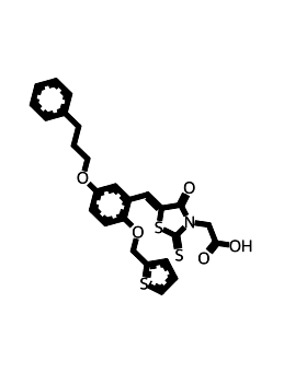 O=C(O)CN1C(=O)C(=Cc2cc(OCCCc3ccccc3)ccc2OCc2cccs2)SC1=S